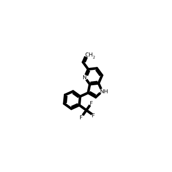 C=Cc1ccc2[nH]cc(-c3ccccc3C(F)(F)F)c2n1